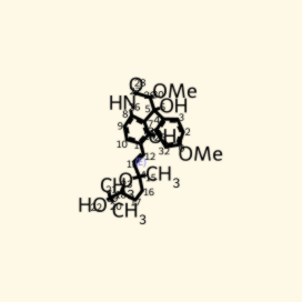 COc1ccc(C2(O)c3c(ccc(/C=C/C4(C)CCC(C(C)(C)O)O4)c3O)NC(=O)C2OC)cc1